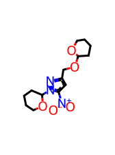 O=[N+]([O-])c1cc(COC2CCCCO2)nn1C1CCCCO1